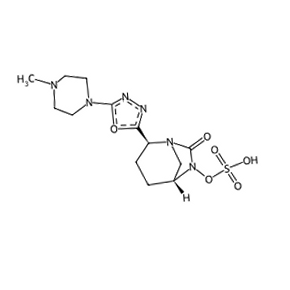 CN1CCN(c2nnc([C@@H]3CC[C@@H]4CN3C(=O)N4OS(=O)(=O)O)o2)CC1